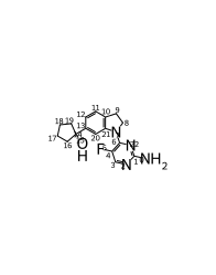 Nc1ncc(F)c(N2CCc3ccc(C4(O)CCCC4)cc32)n1